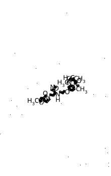 CCN1C(=O)C(C)(C)C(=O)N(C)c2cc(OCCCNC(CCn3ccc4oc(C)cc4c3=O)c3cnco3)ccc21